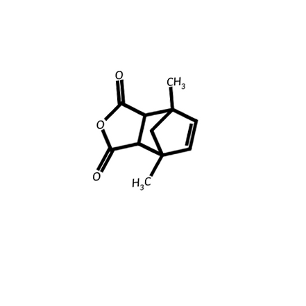 CC12C=CC(C)(C1)C1C(=O)OC(=O)C12